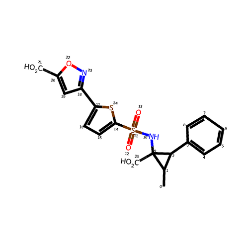 CC1C(c2ccccc2)C1(NS(=O)(=O)c1ccc(-c2cc(C(=O)O)on2)s1)C(=O)O